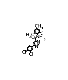 Cc1cc(C)c(NC(=O)c2cc(-c3ccc(Cl)c(Cl)c3)ncn2)c(C)c1